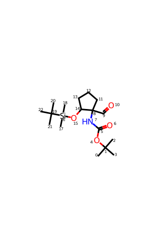 CC(C)(C)OC(=O)NC1(C=O)CCCC1O[Si](C)(C)C(C)(C)C